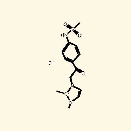 C[c+]1n(C)ccn1CC(=O)c1ccc(NS(C)(=O)=O)cc1.[Cl-]